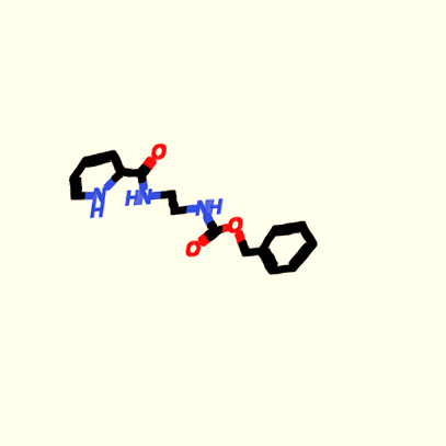 O=C(NCCNC(=O)[C]1C=CC=CN1)OCc1ccccc1